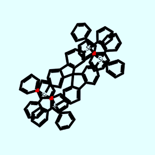 c1ccc([Si](c2ccccc2)(c2ccccc2)c2ccc3c(c2)C2(c4cc([Si](c5ccccc5)(c5ccccc5)c5ccccc5)ccc4-3)c3cc([Si](c4ccccc4)(c4ccccc4)c4ccccc4)ccc3-c3ccc([Si](c4ccccc4)(c4ccccc4)c4ccccc4)cc32)cc1